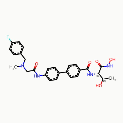 C[C@@H](O)[C@H](NC(=O)c1ccc(-c2ccc(NC(=O)CN(C)Cc3ccc(F)cc3)cc2)cc1)C(=O)NO